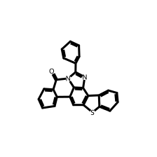 O=c1c2ccccc2c2cc3sc4ccccc4c3c3nc(-c4ccccc4)n1c23